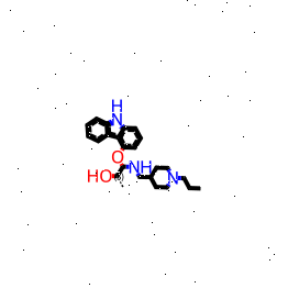 CCCN1CCC(CNC(Oc2cccc3[nH]c4ccccc4c23)[C@H](C)O)CC1